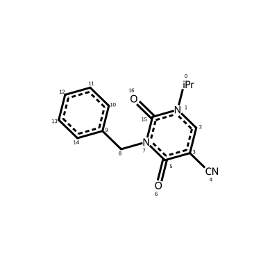 CC(C)n1cc(C#N)c(=O)n(Cc2ccccc2)c1=O